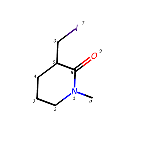 CN1CCCC(CI)C1=O